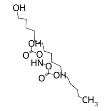 CCCCCCCCCCCCCCCCO.O=C(O)ONOC(=O)O